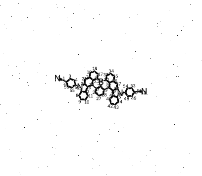 N#Cc1ccc(-n2c3ccccc3c3c4c5c(cccc5cc32)B2c3c-4cccc3-c3c4c2cccc4cc2c3c3ccccc3n2-c2ccc(C#N)cc2)cc1